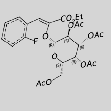 CCOC(=O)C(=Cc1ccccc1F)O[C@H]1O[C@@H](COC(C)=O)[C@@H](OC(C)=O)[C@@H](OC(C)=O)[C@@H]1OC(C)=O